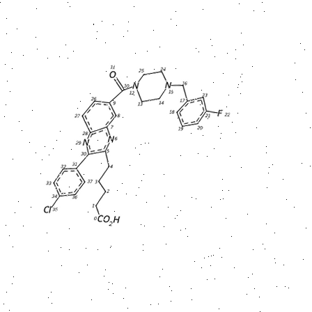 O=C(O)CCCCc1nc2cc(C(=O)N3CCN(Cc4cccc(F)c4)CC3)ccc2nc1-c1ccc(Cl)cc1